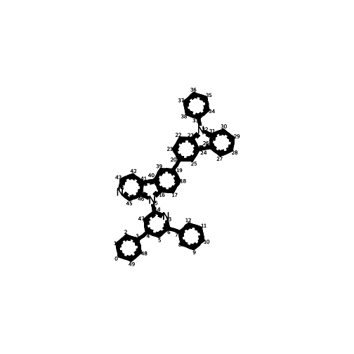 c1ccc(-c2cc(-c3ccccc3)nc(-n3c4ccc(-c5ccc6c(c5)c5ccccc5n6-c5ccccc5)cc4c4ccncc43)c2)cc1